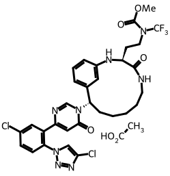 CC(=O)O.COC(=O)N(CC[C@@H]1Nc2cccc(c2)[C@@H](n2cnc(-c3cc(Cl)ccc3-n3cc(Cl)nn3)cc2=O)CCCCCNC1=O)C(F)(F)F